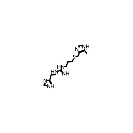 Cc1[nH]cnc1CSCCCNC(=N)NCCc1c[nH]cn1